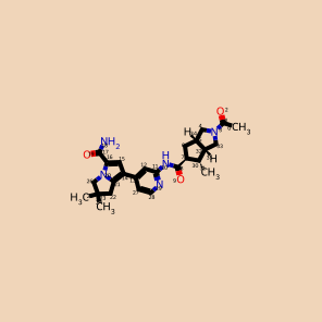 CC(=O)N1C[C@H]2C[C@H](C(=O)Nc3cc(-c4cc(C(N)=O)n5c4CC(C)(C)C5)ccn3)[C@@H](C)[C@H]2C1